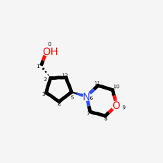 OC[C@H]1CC[C@H](N2CCOCC2)C1